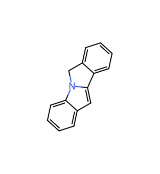 c1ccc2c(c1)Cn1c-2cc2ccccc21